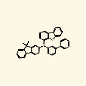 CC1(C)c2ccccc2-c2ccc(N(c3cccc(-c4ccccc4)c3)c3cccc4c3oc3ccccc34)cc21